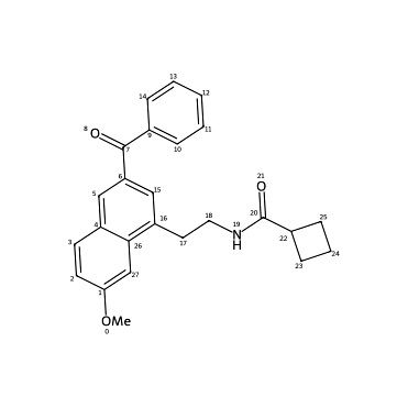 COc1ccc2cc(C(=O)c3ccccc3)cc(CCNC(=O)C3CCC3)c2c1